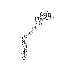 O=C1CCC(N2C(=O)c3cccc(NCCOCCOCCOCC(=O)N4CCN(c5ccn6c(n5)nc5ccccc56)CC4)c3C2=O)C(=O)N1